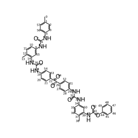 Cc1ccc(NC(=O)Nc2ccc(C)c(NC(=O)Nc3ccc(S(=O)(=O)c4ccc(NC(=O)Nc5ccc(C)c(NC(=O)Oc6ccccc6)c5)cc4)cc3)c2)cc1